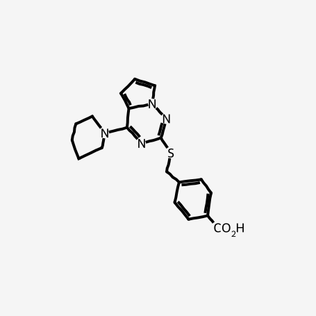 O=C(O)c1ccc(CSc2nc(N3CCCCC3)c3cccn3n2)cc1